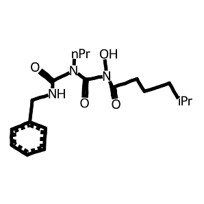 CCCN(C(=O)NCc1ccccc1)C(=O)N(O)C(=O)CCCC(C)C